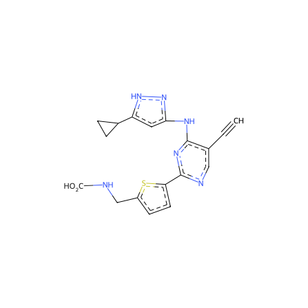 C#Cc1cnc(-c2ccc(CNC(=O)O)s2)nc1Nc1cc(C2CC2)[nH]n1